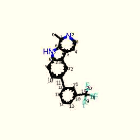 Cc1nccc2c1[nH]c1ccc(-c3cccc(C(F)(F)F)c3)cc12